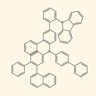 c1ccc(-c2ccc(N(c3ccc(-c4ccccc4)c(-c4cccc5ccccc45)c3)c3ccc(-c4ccccc4-n4c5ccccc5c5ccccc54)cc3-c3ccccc3)cc2)cc1